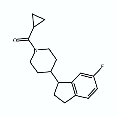 O=C(C1CC1)N1CCC(C2CCc3ccc(F)cc32)CC1